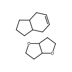 C1=CCC2CCCC2C1.C1CC2OCCC2O1